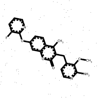 COc1c(Cc2c(C)c3ccc(Oc4ncccc4F)cc3oc2=O)ccnc1N